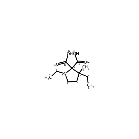 CCN1CCC(C)(CC)C1(C(=O)O)C(=O)O